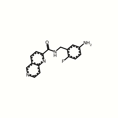 Nc1ccc(F)c(CNC(=O)c2ccc3cnccc3n2)c1